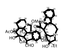 CC[C@]1(O)C[C@H]2CN(CCc3c([nH]c4ccccc34)[C@@]2(C(=O)OC)c2cc3c(cc2OC)C(C=O)C2[C@]34CCN3CC=C[C@@](CC)([C@@H](OC(C)=O)[C@]2(O)OC(C)=O)[C@H]34)C1